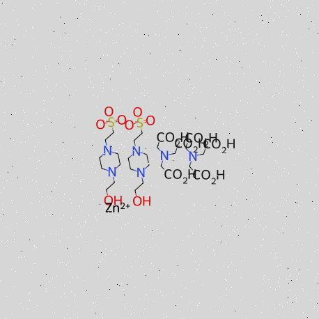 O=C(O)CN(CC(=O)O)CC(=O)O.O=C(O)CN(CC(=O)O)CC(=O)O.O=S(=O)([O-])CCN1CCN(CCO)CC1.O=S(=O)([O-])CCN1CCN(CCO)CC1.[Zn+2]